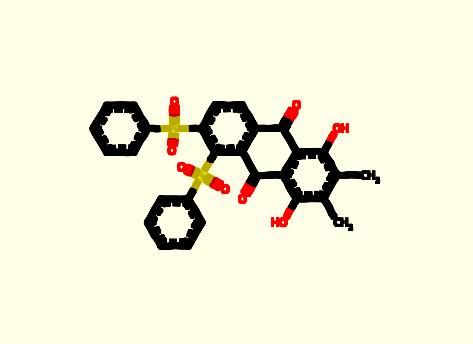 Cc1c(C)c(O)c2c(c1O)C(=O)c1ccc(S(=O)(=O)c3ccccc3)c(S(=O)(=O)c3ccccc3)c1C2=O